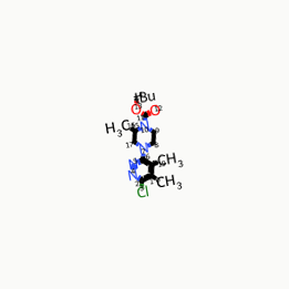 Cc1c(Cl)nnc(N2CCN(C(=O)OC(C)(C)C)C(C)C2)c1C